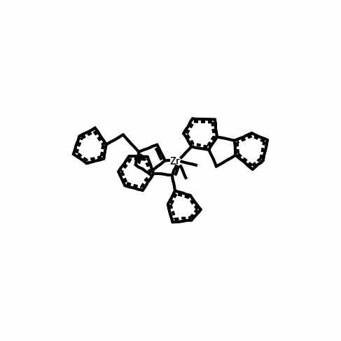 [CH3][Zr]([CH3])([C]1=CC(Cc2ccccc2)=CC1)(=[C](c1ccccc1)c1ccccc1)[c]1cccc2c1Cc1ccccc1-2